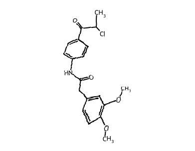 COc1ccc(CC(=O)Nc2ccc(C(=O)C(C)Cl)cc2)cc1OC